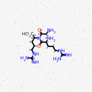 N=C(N)NCCCC(N)C(=O)N(C(=O)CN)C(CCCNC(=N)N)C(=O)O